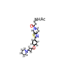 CC(=O)NCCC(=O)N1CCc2nc(-c3ccc(O[C@H]4C[C@H](N5CCCCC5)C4)cc3)sc2C1